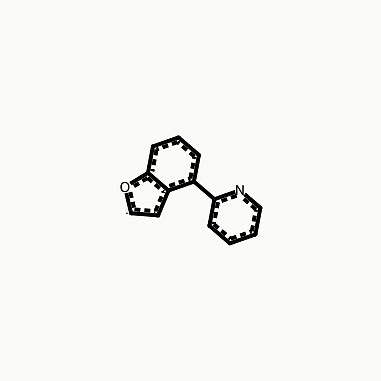 [c]1cc2c(-c3ccccn3)cccc2o1